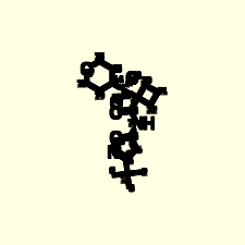 CC(C)(C)c1cc(NC(=O)C2(S(=O)(=O)C3CCOCC3)CCC2)on1